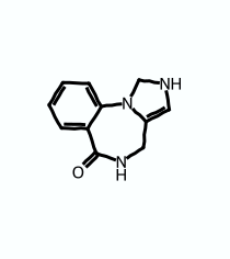 O=C1NCC2=CNCN2c2ccccc21